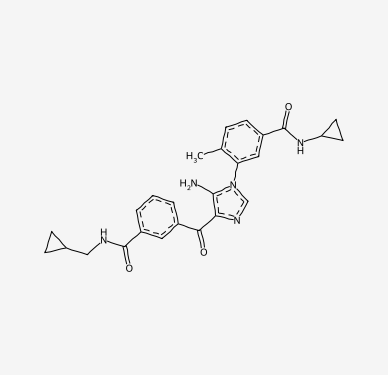 Cc1ccc(C(=O)NC2CC2)cc1-n1cnc(C(=O)c2cccc(C(=O)NCC3CC3)c2)c1N